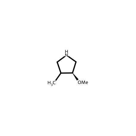 CO[C@@H]1CNCC1C